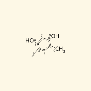 Cc1cc(I)c(O)cc1O